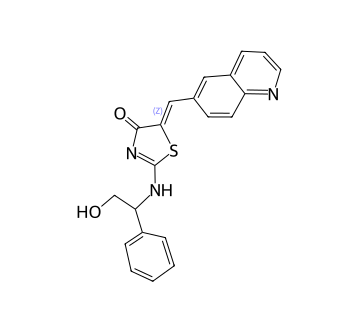 O=C1N=C(NC(CO)c2ccccc2)S/C1=C\c1ccc2ncccc2c1